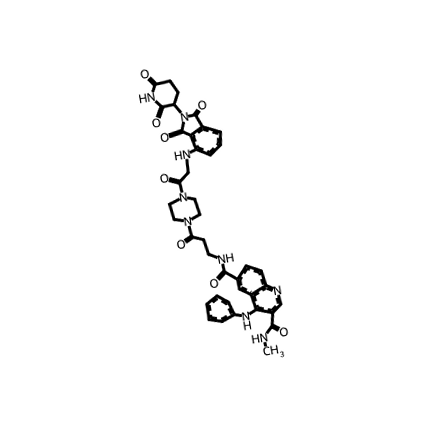 CNC(=O)c1cnc2ccc(C(=O)NCCC(=O)N3CCN(C(=O)CNc4cccc5c4C(=O)N(C4CCC(=O)NC4=O)C5=O)CC3)cc2c1Nc1ccccc1